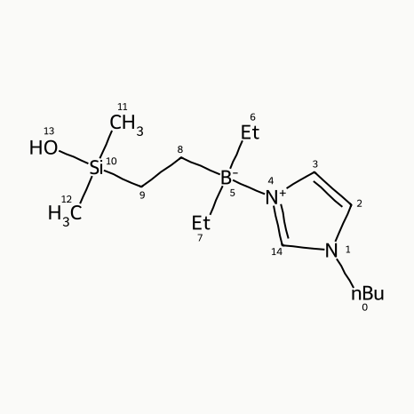 CCCCn1cc[n+]([B-](CC)(CC)CC[Si](C)(C)O)c1